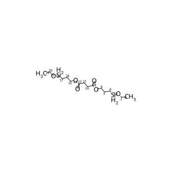 CCO[SiH2]CCCOC(=O)CCC(=O)OCCC[SiH2]OCC